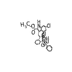 CCOC(=O)c1[nH]c2cc(Cl)cc(Cl)c2c1C=C(C(=O)O)c1ccccc1NS(=O)(=O)c1ccccc1